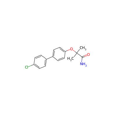 CC(C)(Oc1ccc(-c2ccc(Cl)cc2)cc1)C(N)=O